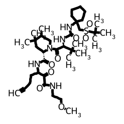 C#CCCC(NC(=O)[C@@H]1CC(C)(C)C(C)CN1C(=O)[C@@H](NC(=O)NC1(CS(=O)(=O)C(C)(C)C)CCCCC1)C(C)(C)C)C(=O)C(=O)NCCOC